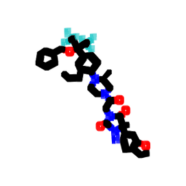 C/C=C\c1cc(C(OCc2ccccc2)(C(F)(F)F)C(F)(F)F)ccc1N1CCN(C(=O)CN2C(=O)NC(C)(c3ccc4c(c3)OCC4)C2=O)C[C@@H]1C